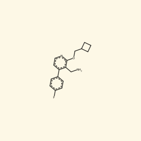 NCc1c(-c2ccc(F)cc2)ccnc1OCC1CCC1